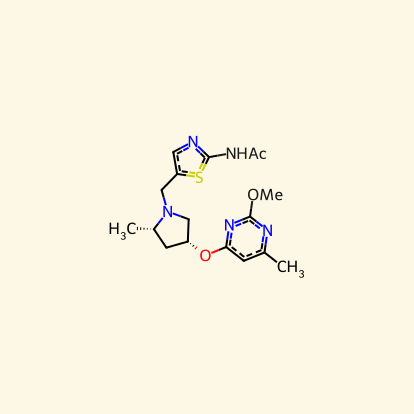 COc1nc(C)cc(O[C@@H]2C[C@H](C)N(Cc3cnc(NC(C)=O)s3)C2)n1